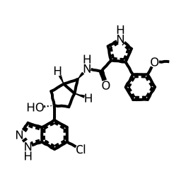 COc1ccccc1-c1c[nH]cc1C(=O)N[C@H]1[C@@H]2C[C@@](O)(c3cc(Cl)cc4[nH]ncc34)C[C@@H]21